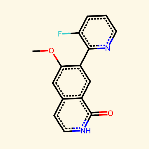 COc1cc2cc[nH]c(=O)c2cc1-c1ncccc1F